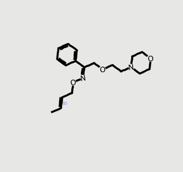 C/C=C/CON=C(COCCN1CCOCC1)c1ccccc1